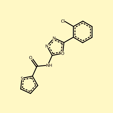 O=C(Nc1nnc(-c2ccccc2Cl)o1)c1cccs1